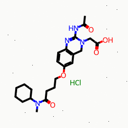 CC(=O)NC1=Nc2ccc(OCCCC(=O)N(C)C3CCCCC3)cc2CN1CC(=O)O.Cl